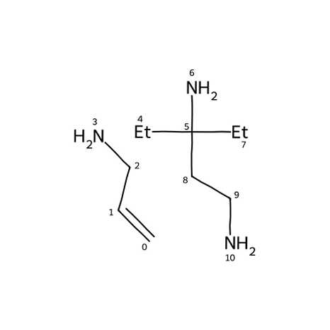 C=CCN.CCC(N)(CC)CCN